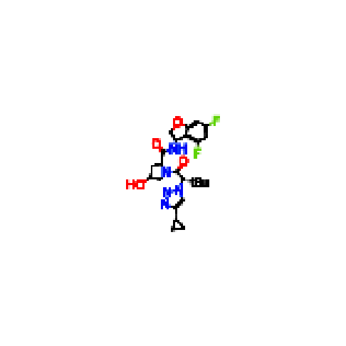 CC(C)(C)[C@@H](C(=O)N1CC(O)CC1C(=O)NC1COc2cc(F)cc(F)c21)n1cc(C2CC2)nn1